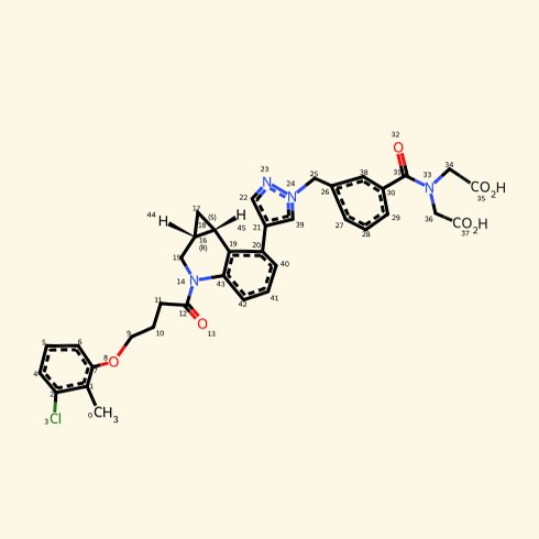 Cc1c(Cl)cccc1OCCCC(=O)N1C[C@@H]2C[C@@H]2c2c(-c3cnn(Cc4cccc(C(=O)N(CC(=O)O)CC(=O)O)c4)c3)cccc21